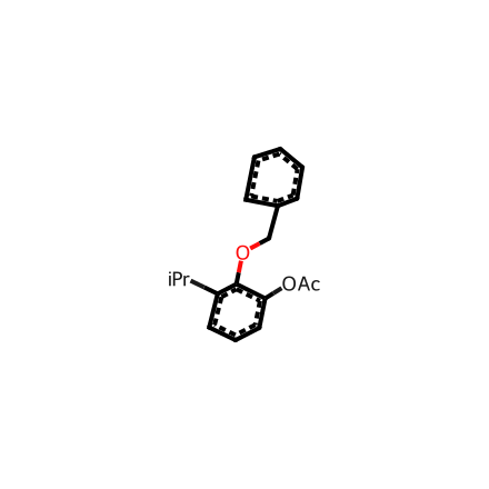 CC(=O)Oc1cccc(C(C)C)c1OCc1ccccc1